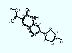 COC(=O)c1cc2cnc(N3CCN(C)CC3)cc2[nH]c1=O